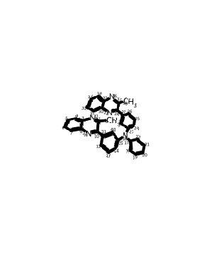 Cc1nc2ccccc2nc1-c1cccc(N(c2ccccc2)c2cccc(-c3nc4ccccc4nc3C)c2)c1